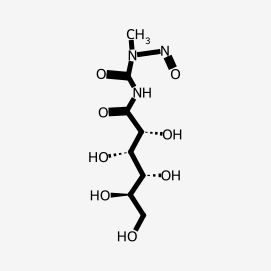 CN(N=O)C(=O)NC(=O)[C@H](O)[C@@H](O)[C@H](O)[C@H](O)CO